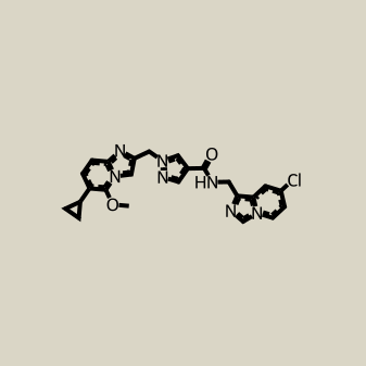 COc1c(C2CC2)ccc2nc(Cn3cc(C(=O)NCc4ncn5ccc(Cl)cc45)cn3)cn12